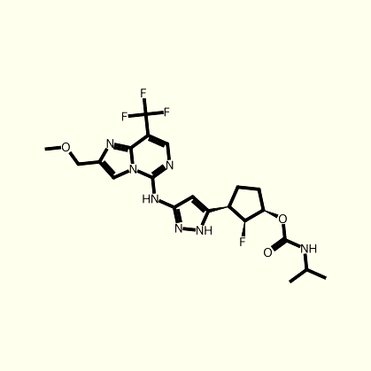 COCc1cn2c(Nc3cc([C@H]4CC[C@@H](OC(=O)NC(C)C)[C@H]4F)[nH]n3)ncc(C(F)(F)F)c2n1